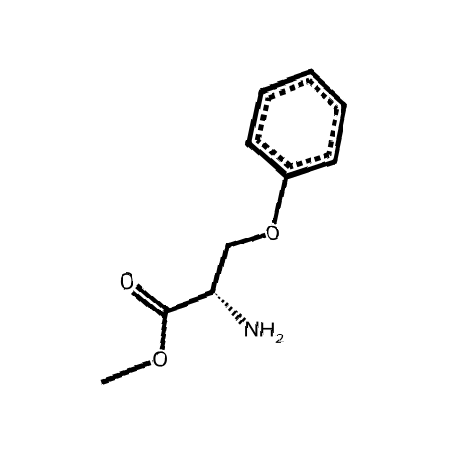 COC(=O)[C@@H](N)COc1ccccc1